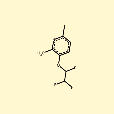 Cc1nc(I)ccc1OC(F)C(F)F